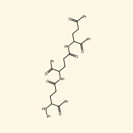 CC(C)NC(CCC(=O)NC(CCC(=O)NC(CCC(=O)C(C)C)C(=O)C(C)C)C(=O)C(C)C)C(=O)C(C)C